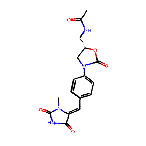 CC(=O)NC[C@H]1CN(c2ccc(C=C3C(=O)NC(=O)N3C)cc2)C(=O)O1